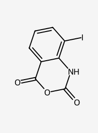 O=c1[nH]c2c(I)cccc2c(=O)o1